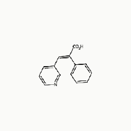 O=C(O)C(=Cc1cccnc1)c1ccccc1